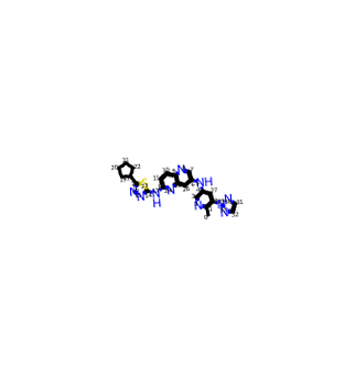 Cc1ncc(Nc2cnc3ccc(Nc4nnc(C5CCCC5)s4)nc3c2)cc1-n1nccn1